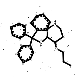 CCCOC1CCNCC1NC(c1ccccc1)(c1ccccc1)c1ccccc1